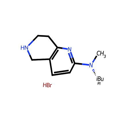 Br.CC[C@@H](C)N(C)c1ccc2c(n1)CCNC2